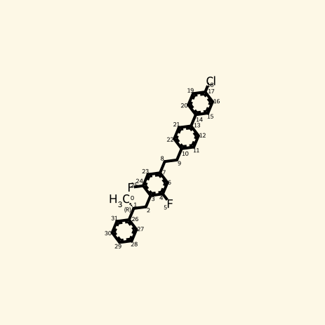 C[C@H](Cc1c(F)cc(CCc2ccc(-c3ccc(Cl)cc3)cc2)cc1F)c1ccccc1